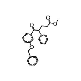 COC(=O)CCC(C(=O)c1cccc(OCc2ccccc2)c1)c1ccccc1